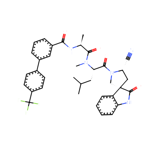 CC(C)C[C@@H](C(=O)N1C[C@]2(C[C@H]1C#N)C(=O)Nc1ccccc12)N(C)C(=O)[C@H](C)NC(=O)c1cccc(-c2ccc(C(F)(F)F)cc2)c1